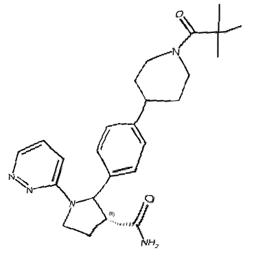 CC(C)(C)C(=O)N1CCC(c2ccc(C3[C@H](C(N)=O)CCN3c3cccnn3)cc2)CC1